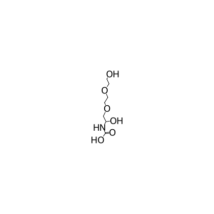 O=C(O)NC(O)COCCOCCO